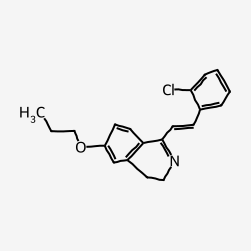 CCCOc1ccc2c(c1)CCN=C2/C=C/c1ccccc1Cl